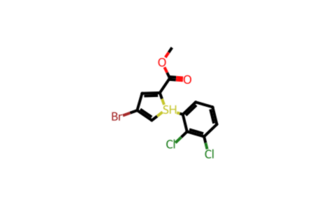 COC(=O)C1=CC(Br)=C[SH]1c1cccc(Cl)c1Cl